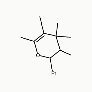 CCC1OC(C)=C(C)C(C)(C)C1C